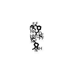 Cc1n[nH]c2ccc(-c3nnc(NC(OC(=O)C(F)(F)F)C(Cc4cccc(C(F)(F)F)c4)NCc4ccco4)s3)cc12